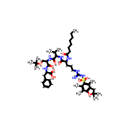 CCCCCCCC(=O)NC(CCCNC(=N)NS(=O)(=O)c1c(C)c(C)c2c(c1C)CC(C)(C)O2)C(=O)NC(C(=O)NC(COC(C)(C)C)C(=O)NC(Cc1ccccc1)C(=O)O)C(C)C